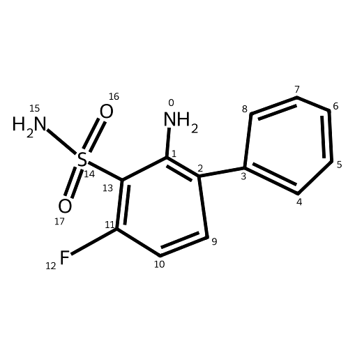 Nc1c(-c2ccccc2)ccc(F)c1S(N)(=O)=O